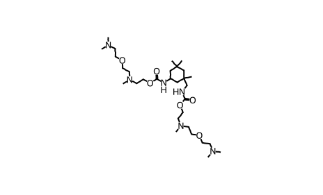 CN(C)CCOCCN(C)CCOC(=O)NCC1(C)CC(NC(=O)OCCN(C)CCOCCN(C)C)CC(C)(C)C1